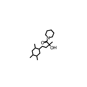 CC1CC(C)C(CCC(C)(O)C(=O)N2CCCCC2)CC1C